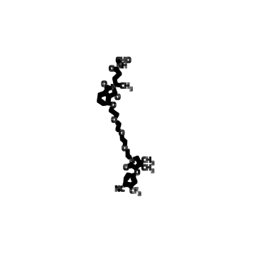 CC(CCC(=O)NC=O)N1C(=O)c2cccc(OCCOCCOCCOCCN3CC(C)(C)C(Oc4ccc(C#N)c(C(F)(F)F)c4)C3=O)c2C1=O